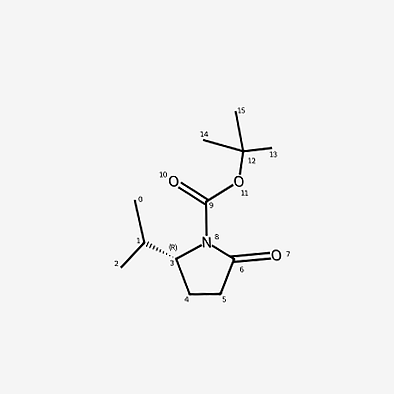 CC(C)[C@H]1CCC(=O)N1C(=O)OC(C)(C)C